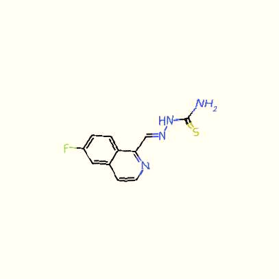 NC(=S)N/N=C/c1nccc2cc(F)ccc12